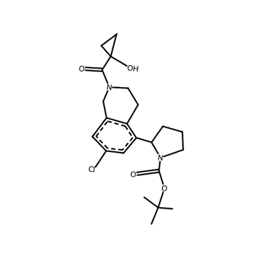 CC(C)(C)OC(=O)N1CCCC1c1cc(Cl)cc2c1CCN(C(=O)C1(O)CC1)C2